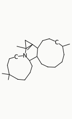 CC1CCCCCC2C3CCCCC(C)(C)CCCN3C3(C)CC3(C)C2CCC1